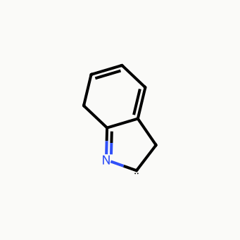 [C]1CC2=CC=CCC2=N1